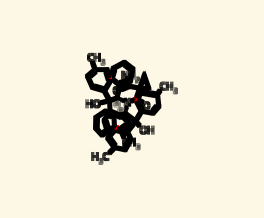 Cc1ccc(C(O)(c2ccc(C)cc2)[C@@H](c2ccccc2)N(C(=O)C2(C(N)=O)CC2)[C@H](c2ccccc2)C(O)(c2ccc(C)cc2)c2ccc(C)cc2)cc1